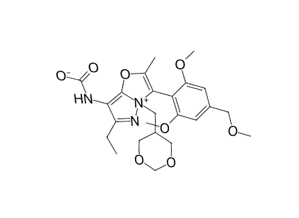 CCC1=N[N+]2(CC3COCOC3)C(=C1NC(=O)[O-])OC(C)=C2c1c(OC)cc(COC)cc1OC